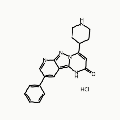 Cl.O=c1cc(C2CCNCC2)n2nc3ncc(-c4ccccc4)cc3c2[nH]1